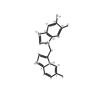 Cc1ccc2ncc(Cn3cnc4cc(F)c(C)cc43)n2c1